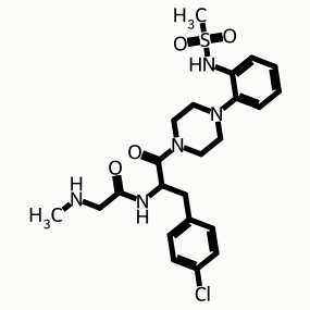 CNCC(=O)NC(Cc1ccc(Cl)cc1)C(=O)N1CCN(c2ccccc2NS(C)(=O)=O)CC1